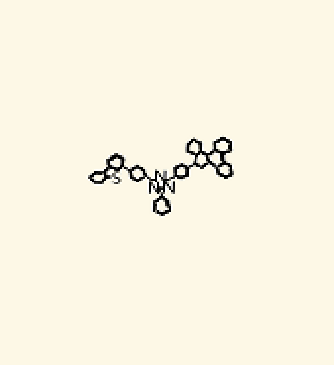 c1ccc(-c2nc(-c3ccc(-c4cc5c6ccccc6c6ccccc6c5c5ccccc45)cc3)nc(-c3ccc(-c4cccc5c4sc4ccccc45)cc3)n2)cc1